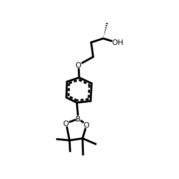 C[C@H](O)CCOc1ccc(B2OC(C)(C)C(C)(C)O2)cc1